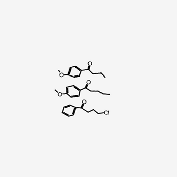 CCCC(=O)c1ccc(OC)cc1.CCCCC(=O)c1ccc(OC)cc1.O=C(CCCCl)c1ccccc1